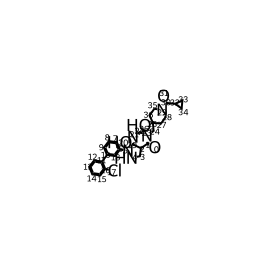 O=C1C2CNN(c3cccc(-c4ccccc4Cl)c3)C2(O)N=CN1CC1(O)CCN(C(=O)C2CC2)CC1